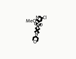 COc1ncc(Cl)cc1S(=O)(=O)N1CC2(CN(C3CCOCC3)C2)C1